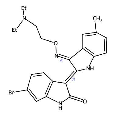 CCN(CC)CCO/N=C1/C(=C2/C(=O)Nc3cc(Br)ccc32)Nc2ccc(C)cc21